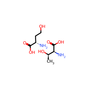 C[C@@H](O)[C@H](N)C(=O)O.N[C@@H](CCO)C(=O)O